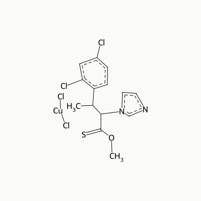 COC(=S)C(C(C)c1ccc(Cl)cc1Cl)n1ccnc1.[Cl][Cu][Cl]